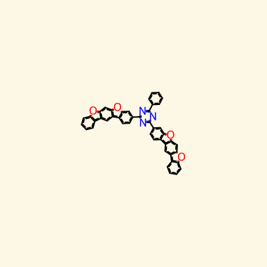 c1ccc(-c2nc(-c3ccc4c(c3)oc3cc5oc6ccccc6c5cc34)nc(-c3ccc4c(c3)oc3cc5oc6ccccc6c5cc34)n2)cc1